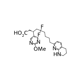 COc1ncc([C@@H](CC(=O)O)CC(F)(F)CCCCc2ccc3c(n2)NCCC3)cn1